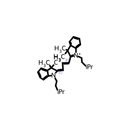 CC(C)CCN1/C(=C/C=C/C2=[N+](CCC(C)C)c3ccccc3C2(C)C)C(C)(C)c2ccccc21